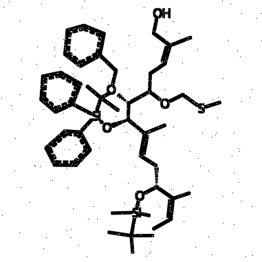 C/C=C(/C)[C@@H](C/C=C(\C)[C@@H](O[Si](c1ccccc1)(c1ccccc1)C(C)(C)C)[C@H](OCc1ccccc1)C(C/C=C(/C)CO)OCSC)O[Si](C)(C)C(C)(C)C